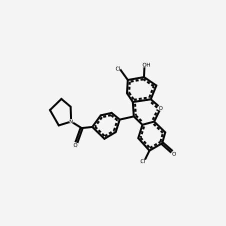 O=C(c1ccc(-c2c3cc(Cl)c(=O)cc-3oc3cc(O)c(Cl)cc23)cc1)N1CCCC1